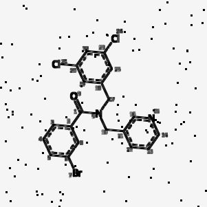 O=C(c1cccc(Br)c1)N(Cc1cccnc1)Cc1cc(Cl)cc(Cl)c1